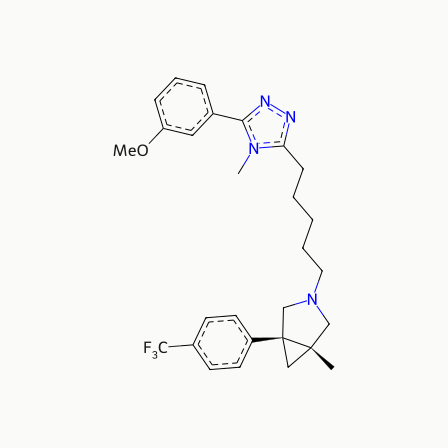 COc1cccc(-c2nnc(CCCCCN3C[C@]4(C)C[C@]4(c4ccc(C(F)(F)F)cc4)C3)n2C)c1